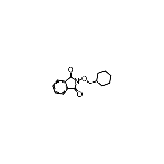 O=C1c2ccccc2C(=O)N1OCC1CCCCC1